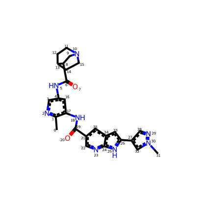 Cc1ncc(NC(=O)C2CN3CCC2CC3)cc1NC(=O)c1cnc2[nH]c(-c3cnn(C)c3)cc2c1